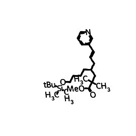 COC(=O)C(C)(C)CC(CC=Cc1cccnc1)CCCCO[Si](C)(C)C(C)(C)C